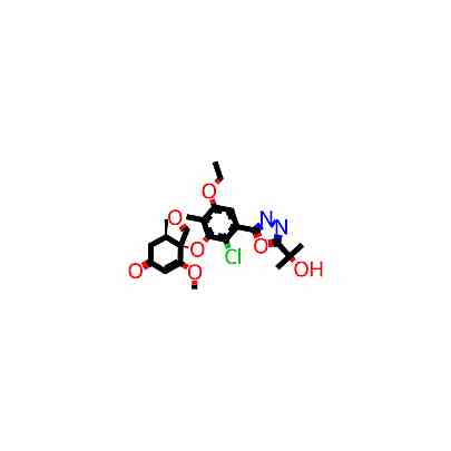 CCOc1cc(-c2nnc(C(C)(C)O)o2)c(Cl)c(O[C@]2(C=O)C(OC)=CC(=O)C[C@H]2C)c1C